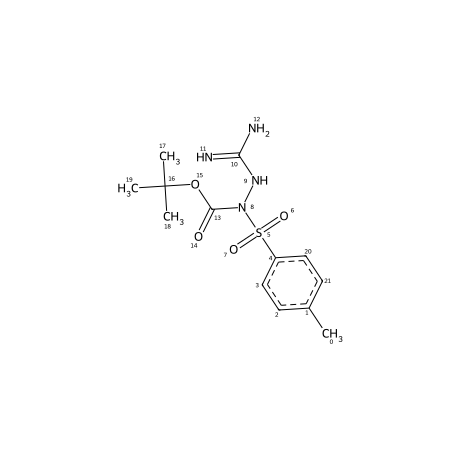 Cc1ccc(S(=O)(=O)N(NC(=N)N)C(=O)OC(C)(C)C)cc1